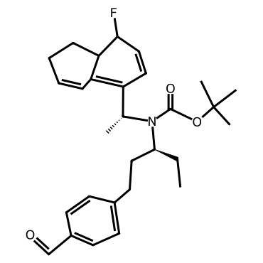 CC[C@@H](CCc1ccc(C=O)cc1)N(C(=O)OC(C)(C)C)[C@H](C)C1=C2C=CCCC2C(F)C=C1